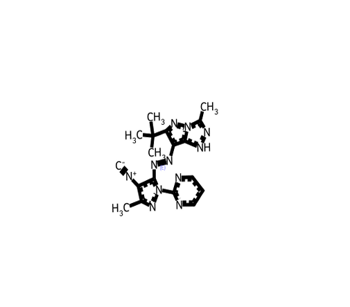 [C-]#[N+]c1c(C)nn(-c2ncccn2)c1/N=N/c1c(C(C)(C)C)nn2c(C)n[nH]c12